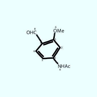 COc1cc(NC(C)=O)ccc1C=O